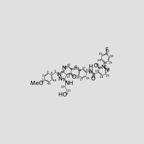 COc1ccc(Cn2nc(NCCO)c3c(Oc4ccc(NC(=O)c5ccnn(-c6ccc(F)cc6)c5=O)cc4F)ccnc32)cc1